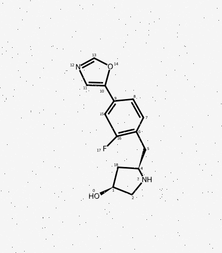 O[C@@H]1CN[C@H](Cc2ccc(-c3cnco3)cc2F)C1